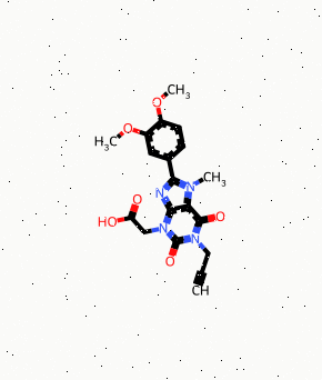 C#CCn1c(=O)c2c(nc(-c3ccc(OC)c(OC)c3)n2C)n(CC(=O)O)c1=O